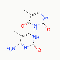 Cc1c[nH]c(=O)[nH]c1=O.Cc1c[nH]c(=O)nc1N